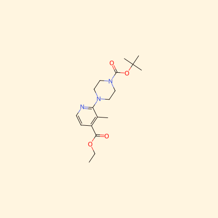 CCOC(=O)c1ccnc(N2CCN(C(=O)OC(C)(C)C)CC2)c1C